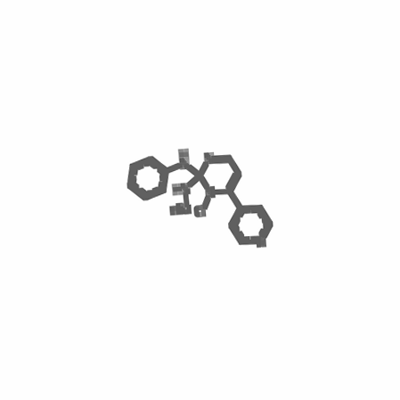 CCCCNC1(Nc2ccccc2)N=CC=C(c2ccncc2)N1Cl